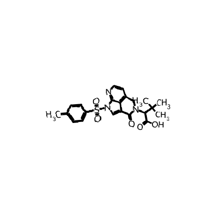 Cc1ccc(S(=O)(=O)n2cc3c4c(ccnc42)CN(C(C(=O)O)C(C)(C)C)C3=O)cc1